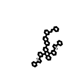 C(=C\c1cccc(-c2ccc3cc(-c4ccc5c(-c6cccc(-c7ccc(-c8ccccc8)s7)c6)c6ccccc6c(-c6cccc(-c7ccc(-c8ccccc8)s7)c6)c5c4)ccc3c2)c1)/c1ccccc1